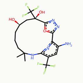 CC1(C)CCC[C@@H](O)C[C@](O)(C(F)(F)F)c2nnc(o2)-c2nc(c(C(F)(F)F)cc2N)N1